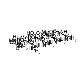 COc1ccc(CC(=O)[C@@H](CCCNC(=N)N)NC(=O)c2cc(CC(=O)[C@@H](CCCNC(=N)N)NC(=O)c3cc(CC(=O)[C@@H](CCCNC(=N)N)NC(=O)c4cc(CC(=O)[C@H](N)CCCNC(=N)N)ccc4OC)ccc3OCC(=O)O)ccc2OC)cc1C(=O)N[C@H](Cc1c[nH]c2ccccc12)C(N)=O